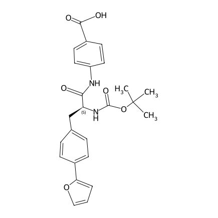 CC(C)(C)OC(=O)N[C@@H](Cc1ccc(-c2ccco2)cc1)C(=O)Nc1ccc(C(=O)O)cc1